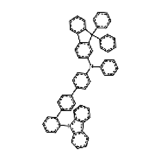 c1ccc(N(c2ccc(-c3ccc(-c4ccccc4-n4c5ccccc5c5ccccc54)cc3)cc2)c2ccc3c(c2)C(c2ccccc2)(c2ccccc2)c2ccccc2-3)cc1